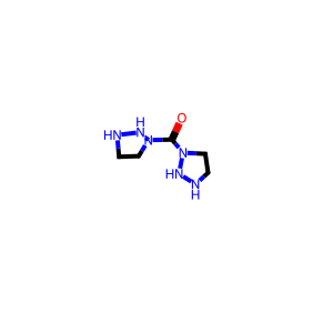 O=C(N1CCNN1)N1CCNN1